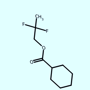 CC(F)(F)COC(=O)C1CCCCC1